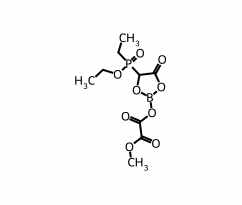 CCOP(=O)(CC)C1OB(OC(=O)C(=O)OC)OC1=O